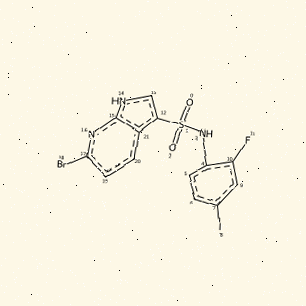 O=S(=O)(Nc1ccc(I)cc1F)c1c[nH]c2nc(Br)ccc12